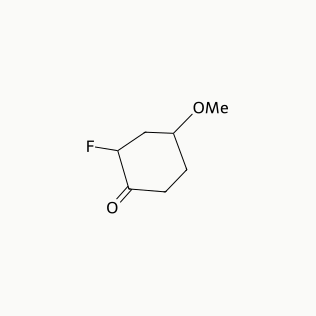 COC1CCC(=O)C(F)C1